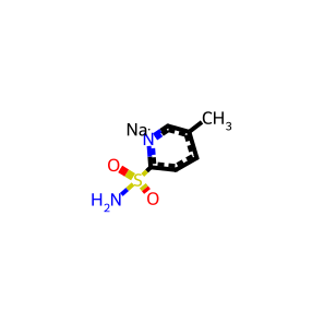 Cc1ccc(S(N)(=O)=O)nc1.[Na]